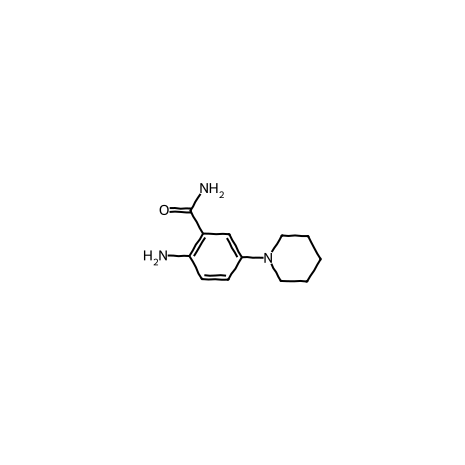 NC(=O)c1cc(N2CCCCC2)ccc1N